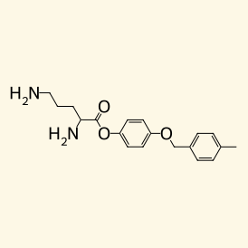 Cc1ccc(COc2ccc(OC(=O)C(N)CCCN)cc2)cc1